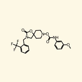 COc1cccc(NC(=O)ON2CCC3(CC2)CN(Cc2ccccc2C(F)(F)F)C(=O)O3)c1